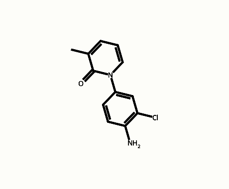 Cc1cccn(-c2ccc(N)c(Cl)c2)c1=O